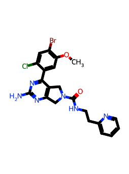 COc1cc(-c2nc(N)nc3c2CN(C(=O)NCCc2ccccn2)C3)c(Cl)cc1Br